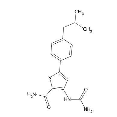 CC(C)Cc1ccc(-c2cc(NC(N)=O)c(C(N)=O)s2)cc1